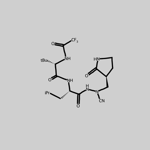 CC(C)C[C@H](NC(=O)[C@@H](NC(=O)C(F)(F)F)C(C)(C)C)C(=O)NN(C#N)C[C@@H]1CCNC1=O